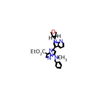 CCOC(=O)c1cnn2c(N(C)Cc3ccccc3)cc(-c3cn([C@H]4[C@@H]5COC[C@@H]54)c4ncccc34)nc12